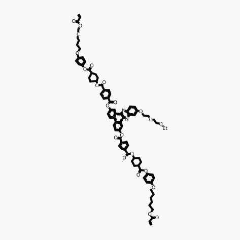 C=CC(=O)OCCCCCCOc1ccc(OC(=O)C2CCC(OC(=O)c3ccc(C(=O)Oc4ccc5c6ccc(OC(=O)c7ccc(C(=O)OC8CCC(C(=O)Oc9ccc(OCCCCCCOC(=O)C=C)cc9)CC8)cc7)cc6c6nc7cc(OCCOCCOCC)ccc7nc6c5c4)cc3)CC2)cc1